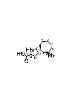 C1=CCCCCC=C1.O=C(O)[C@@H]1CCCN1.[Rh]